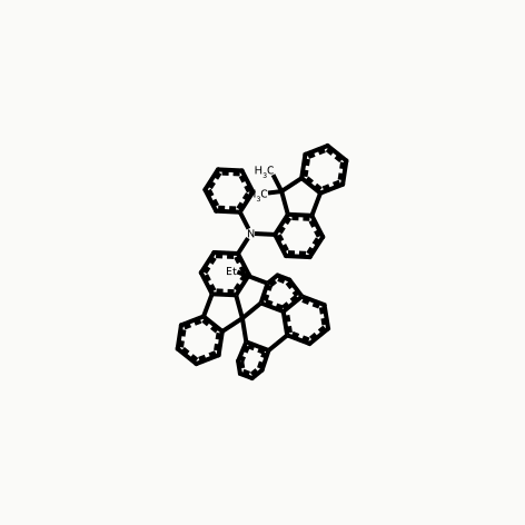 CCc1ccc2cccc3c2c1C1(c2ccccc2-c2ccc(N(c4ccccc4)c4cccc5c4C(C)(C)c4ccccc4-5)cc21)c1ccccc1-3